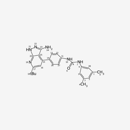 Cc1cc(C)cc(NC(=O)Nc2ccc(-c3cc(C(C)(C)C)nc4[nH]nc(N)c34)cc2)c1